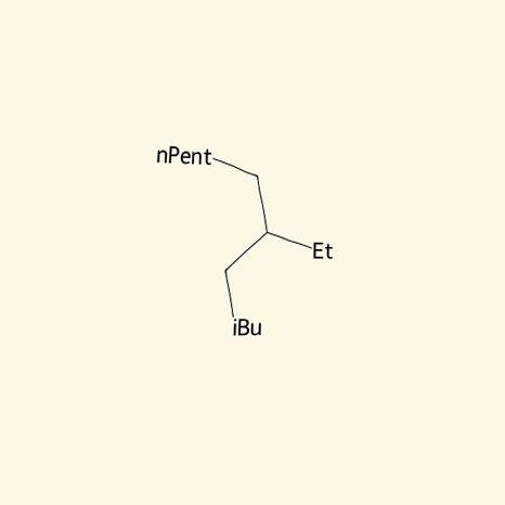 CCCCCCC(CC)CC(C)CC